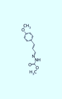 COC(=O)N/N=C/C=C/c1ccc(OC)cc1